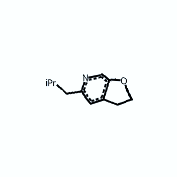 CC(C)Cc1cc2c(cn1)OCC2